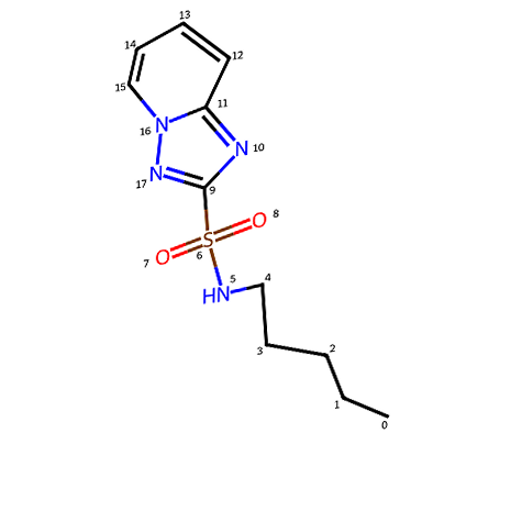 CCCCCNS(=O)(=O)c1nc2ccccn2n1